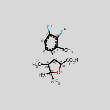 Cc1c([C@@H]2[C@@H](C(=O)O)O[C@@](C)(C(F)(F)F)[C@H]2C)ccc(F)c1F